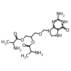 CC(N)C(=O)OCC(COCN1CNc2c1nc(N)[nH]c2=O)OC(=O)C(C)N